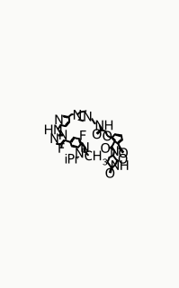 Cc1nc2c(F)cc(-c3nc(Nc4ccc(CN5CCN(CCNC(=O)COc6cccc7c6C(=O)N(C6CCC(=O)NC6=O)C7=O)CC5)cn4)ncc3F)cc2n1C(C)C